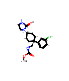 CC(C)(C)OC(=O)NC[C@]1(c2cccc(Cl)c2)CC[C@@H](N2CCNC2=O)CC1